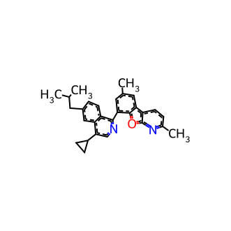 Cc1cc(-c2ncc(C3CC3)c3cc(CC(C)C)ccc23)c2oc3nc(C)ccc3c2c1